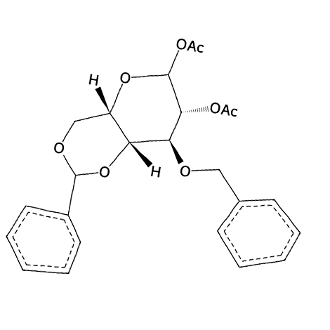 CC(=O)OC1O[C@H]2COC(c3ccccc3)O[C@H]2[C@H](OCc2ccccc2)[C@H]1OC(C)=O